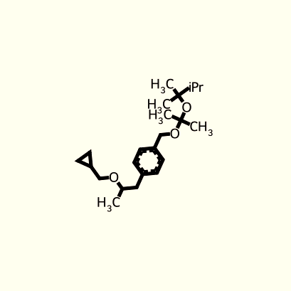 CC(Cc1ccc(COC(C)(C)OC(C)(C)C(C)C)cc1)OCC1CC1